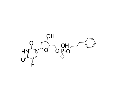 O=c1[nH]c(=O)n([C@H]2C[C@H](O)[C@@H](COP(=O)(O)OCCCc3ccccc3)O2)cc1F